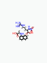 CC(Nc1cccc2ccccc12)C(=O)O.N=C(N)NCCCC(N[N+](=O)[O-])C(=O)O